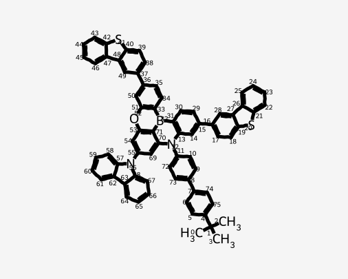 CC(C)(C)c1ccc(-c2ccc(N3c4cc(-c5ccc6sc7ccccc7c6c5)ccc4B4c5ccc(-c6ccc7sc8ccccc8c7c6)cc5Oc5cc(-n6c7ccccc7c7ccccc76)cc3c54)cc2)cc1